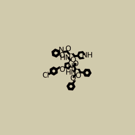 O=C(N[C@H](CCc1ccccc1)C(=O)N1C[C@H](OCc2ccc(Cl)cc2)C[C@H]1C(=O)N[C@@H](CCC1CCNCC1)C(=O)c1nc2ccccc2o1)OCc1ccccc1